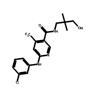 CC(C)(CO)CNC(=O)c1cnc(Nc2cccc(Cl)c2)cc1C(F)(F)F